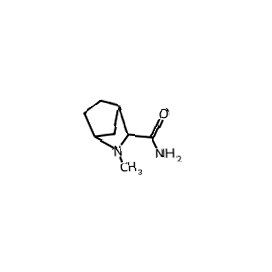 CN1C2CCC(C2)C1C(N)=O